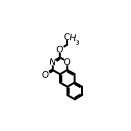 CCOc1nc(=O)c2cc3ccccc3cc2o1